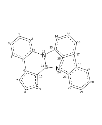 c1ccc2c(c1)-c1ccsc1B1N2c2cccc3c4ccccc4n1c23